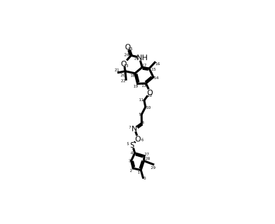 Cc1ccc(SON=CCCCOc2cc(C)c3c(c2)C(C)(C)OC(=O)N3)cc1C